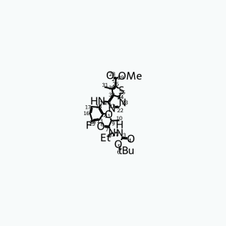 CCN(NC(=O)OC(C)(C)C)C(=O)C(C)Oc1cc(F)ccc1Nc1ncnc2sc(C(=O)OC)c(C)c12